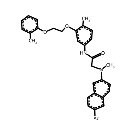 CC(=O)c1ccc2cc(N(C)CC(=O)Nc3ccc(C)c(OCCOc4ccccc4C)c3)ccc2c1